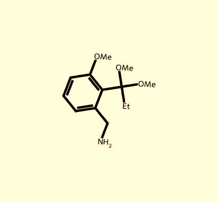 CCC(OC)(OC)c1c(CN)cccc1OC